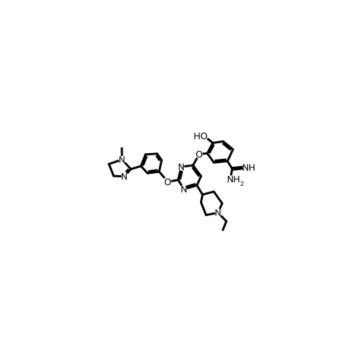 CCN1CCC(c2cc(Oc3cc(C(=N)N)ccc3O)nc(Oc3cccc(C4=NCCN4C)c3)n2)CC1